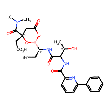 CC(C)C[C@H](NC(=O)C(NC(=O)c1cccc(-c2ccccc2)n1)[C@@H](C)O)B1OC(=O)C[C@@](CC(=O)O)(C(=O)N(C)C)O1